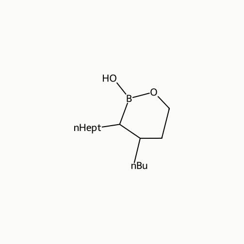 CCCCCCCC1B(O)OCCC1CCCC